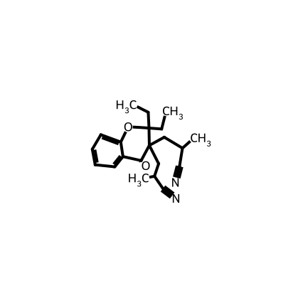 CCC1(CC)Oc2ccccc2C(=O)C1(CC(C)C#N)CC(C)C#N